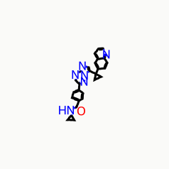 O=C(NC1CC1)c1ccc(-c2cnc3ncc(C4(c5ccc6ncccc6c5)CC4)n3n2)cc1